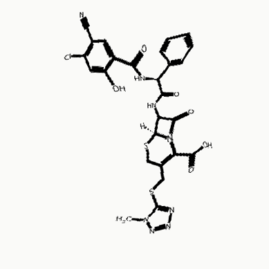 Cn1nnnc1SCC1=C(C(=O)O)N2C(=O)C(NC(=O)[C@@H](NC(=O)c3cc(C#N)c(Cl)cc3O)c3ccccc3)[C@@H]2SC1